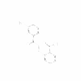 O=C(CCc1ccccc1C(=O)O)c1cccc(Br)c1